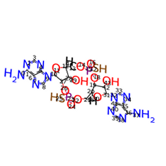 Nc1ncnc2c1ncn2[C@@H]1O[C@@H]2COP(=O)(S)OC3[C@@H](COP(=O)(S)OC1C2O)O[C@@H](n1cnc2c(N)ncnc21)[C@H]3O